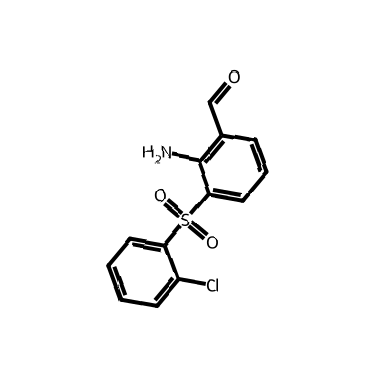 Nc1c(C=O)cccc1S(=O)(=O)c1ccccc1Cl